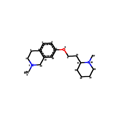 CCCN1CCc2ccc(OCCC3CCCCN3C)cc2C1